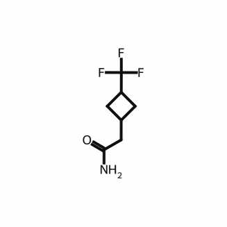 NC(=O)CC1CC(C(F)(F)F)C1